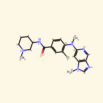 CCc1cc(C(=O)NC2CCCN(C)C2)ccc1N(C)c1cc2c(cn1)ncn2C